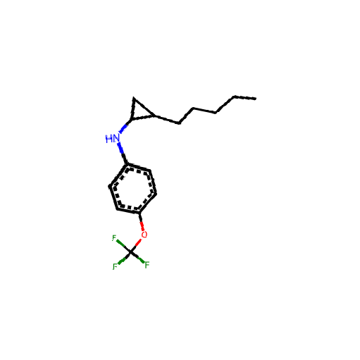 CCCCCC1CC1Nc1ccc(OC(F)(F)F)cc1